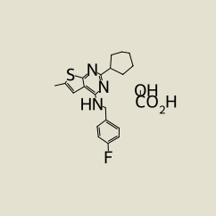 Cc1cc2c(NCc3ccc(F)cc3)nc(C3CCCCC3)nc2s1.O=C(O)O